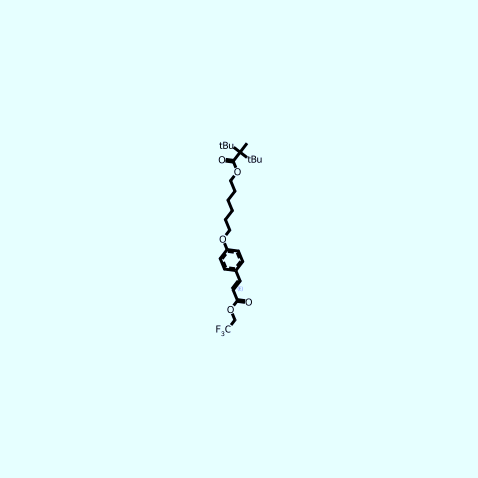 CC(C)(C)C(C)(C(=O)OCCCCCCOc1ccc(/C=C/C(=O)OCC(F)(F)F)cc1)C(C)(C)C